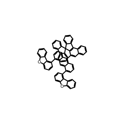 c1ccc2c(c1)-c1ccccc1C21c2ccccc2-c2c1c(-c1c3cccc(-c4cccc5oc6ccccc6c45)c3cc3c(-c4cccc5oc6ccccc6c45)cccc13)cc1ccccc21